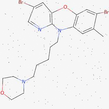 Cc1cc2c(cc1Br)Oc1cc(Br)cnc1N2CCCCCN1CCOCC1